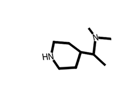 CC(C1CCNCC1)N(C)C